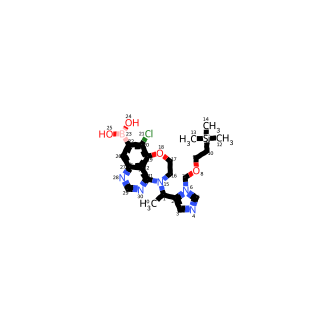 CC(c1cncn1COCC[Si](C)(C)C)N1CCOc2c(Cl)c(B(O)O)cc3ncnc1c23